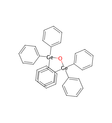 c1cc[c]([Ge]([O][Ge]([c]2ccccc2)([c]2ccccc2)[c]2ccccc2)([c]2ccccc2)[c]2ccccc2)cc1